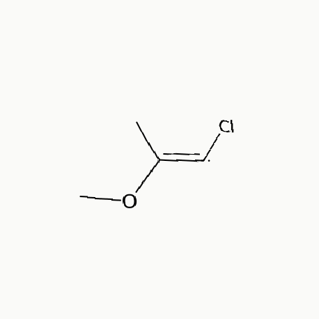 CO/C(C)=[C]/Cl